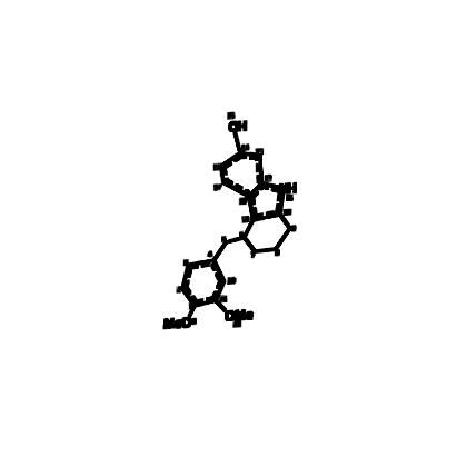 COc1ccc(CC2CCCc3[nH]c4cc(O)ccc4c32)cc1OC